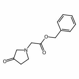 O=C1CCN(CC(=O)OCc2ccccc2)C1